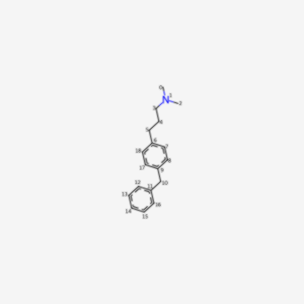 CN(C)CCCc1ccc(Cc2ccccc2)cc1